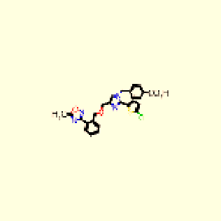 Cc1nc(-c2ccccc2COCc2cn(Cc3ccc(C(=O)O)cc3)c(-c3ccc(Cl)s3)n2)no1